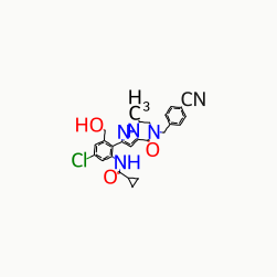 C[C@H]1CN(Cc2ccc(C#N)cc2)C(=O)c2cc(-c3c(CO)cc(Cl)cc3NC(=O)C3CC3)nn21